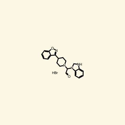 Br.O=CC(N1CCC(c2noc3ccccc23)CC1)N1CNc2ccccc21